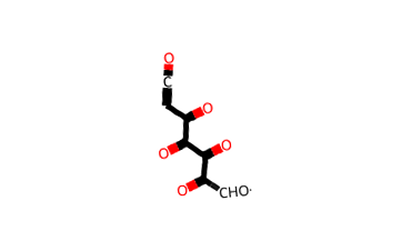 O=[C]C(=O)C(=O)C(=O)C(=O)C=C=O